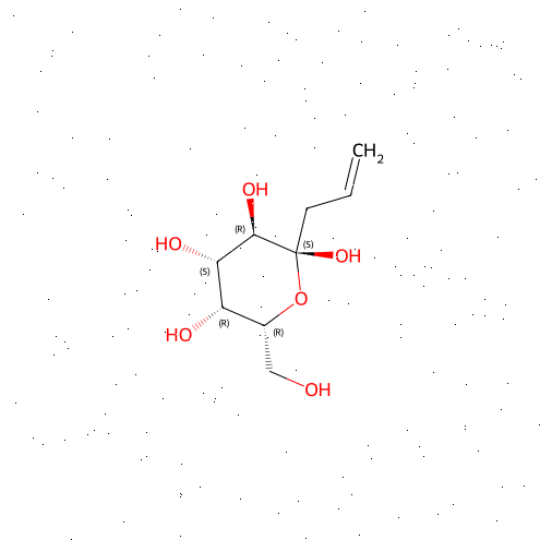 C=CC[C@]1(O)O[C@H](CO)[C@H](O)[C@H](O)[C@H]1O